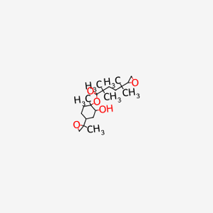 CC(C)(CCC(C)(C)C1CO1)C(=O)OC1(C)CCC(C2(C)CO2)CC1O